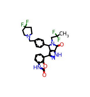 CC(F)(F)CN1C(=O)c2[nH]nc(-c3cccc4[nH]c(=O)oc34)c2C1c1ccc(CN2CCC(F)(F)CC2)cc1